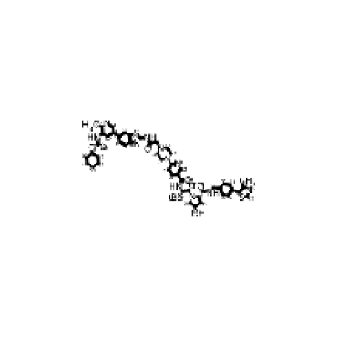 Cc1ncc(-c2ccc3nc(NC(=O)CN4CCN(c5ccc(C(=O)N[C@H](C(=O)N6C[C@H](O)C[C@H]6C(=O)NCc6ccc(-c7scnc7C)cc6)C(C)(C)C)cn5)CC4)sc3c2)cc1NC(=O)OC1CCCCC1